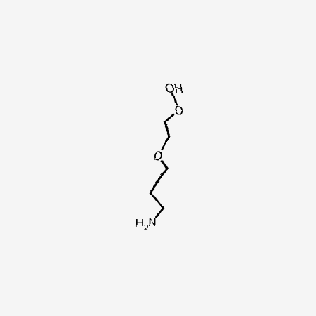 NCCCOCCOO